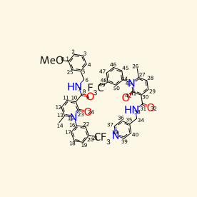 COc1cccc(CNC(=O)c2ccc(C)n(-c3cccc(C(F)(F)F)c3)c2=O)c1.Cc1ccc(C(=O)NCc2ccncc2)c(=O)n1-c1cccc(C(F)(F)F)c1